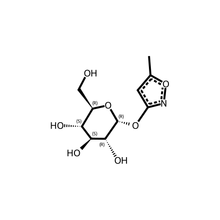 Cc1cc(O[C@H]2O[C@H](CO)[C@@H](O)[C@H](O)[C@H]2O)no1